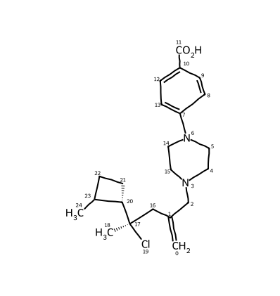 C=C(CN1CCN(c2ccc(C(=O)O)cc2)CC1)C[C@@](C)(Cl)[C@H]1CCC1C